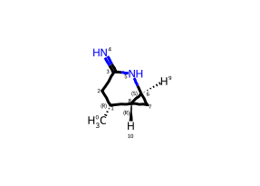 C[C@@H]1CC(=N)N[C@H]2C[C@H]12